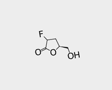 O=C1O[C@H](CO)CC1F